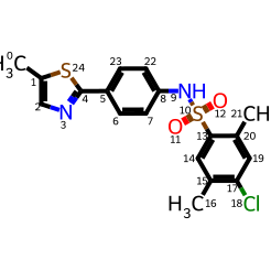 Cc1cnc(-c2ccc(NS(=O)(=O)c3cc(C)c(Cl)cc3C)cc2)s1